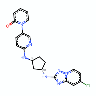 O=c1ccccn1-c1ccc(N[C@H]2CC[C@H](Nc3nc4cc(Cl)ccn4n3)C2)nc1